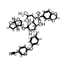 CC(C)CN(C[C@@H](O)[C@H](Cc1ccc(Oc2ccc(C#N)cn2)cc1)NC(=O)O[C@H]1CO[C@H]2OCC[C@H]21)S(=O)(=O)c1ccc2c(c1)OCO2